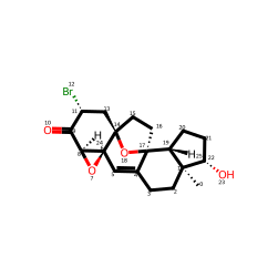 C[C@]12CCC3=C[C@]45O[C@H]4C(=O)[C@H](Br)C[C@]54CC[C@]3(O4)[C@@H]1CC[C@@H]2O